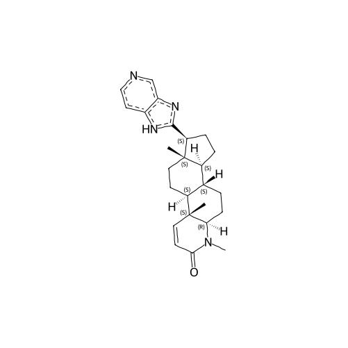 CN1C(=O)C=C[C@]2(C)[C@H]3CC[C@]4(C)[C@@H](c5nc6cnccc6[nH]5)CC[C@H]4[C@@H]3CC[C@@H]12